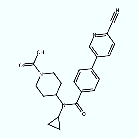 N#Cc1ccc(-c2ccc(C(=O)N(C3CC3)C3CCN(C(=O)O)CC3)cc2)cn1